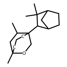 CC1CC2(C)CCCC1(C1C3CCC(C3)C1(C)C)CO2